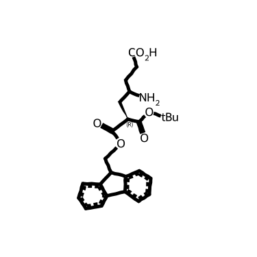 CC(C)(C)OC(=O)[C@H](CC(N)CCC(=O)O)C(=O)OCC1c2ccccc2-c2ccccc21